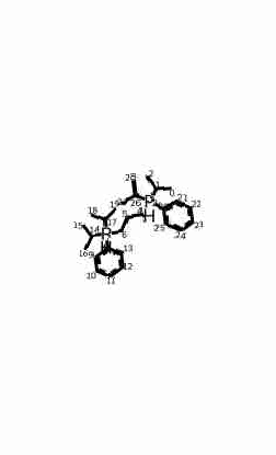 CC(C)[PH](CCC[PH](c1ccccc1)(C(C)C)C(C)C)(c1ccccc1)C(C)C